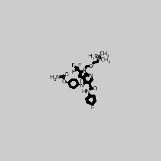 C[Si](C)(C)CCOCn1c(C(F)(F)F)cc2c(N[C@H]3CC[C@H](OC(N)=O)CC3)c(C(=O)Nc3ccc(F)cc3)cnc21